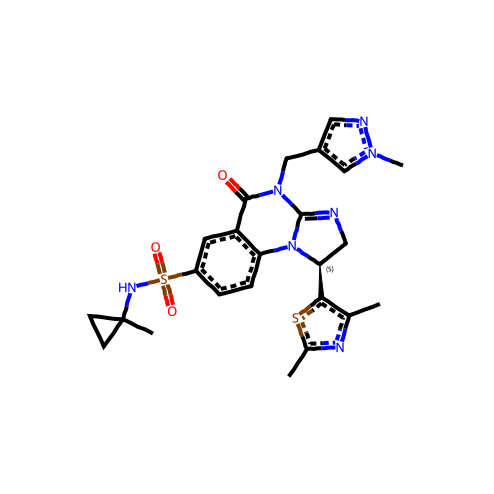 Cc1nc(C)c([C@@H]2CN=C3N(Cc4cnn(C)c4)C(=O)c4cc(S(=O)(=O)NC5(C)CC5)ccc4N32)s1